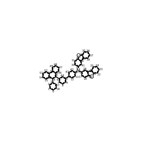 c1ccc(-c2c(-c3cccc(-c4ccc(N(c5ccc6oc7ccccc7c6c5)c5ccc6oc7ccccc7c6c5)cc4)c3)c3ccccc3c3ccccc23)cc1